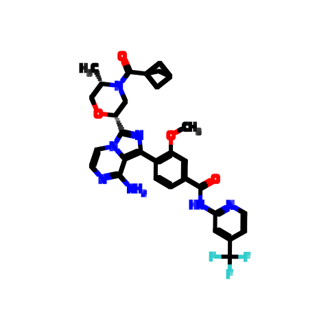 COc1cc(C(=O)Nc2cc(C(F)(F)F)ccn2)ccc1-c1nc([C@H]2CN(C(=O)C34CC(C3)C4)[C@@H](C)CO2)n2ccnc(N)c12